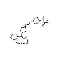 COC(=O)Nc1ccc(C=CCN2CCC(=C3c4ccccc4C=Cc4ccccc43)CC2)cc1